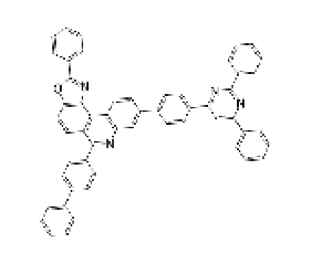 c1ccc(-c2ccc(-c3nc4cc(-c5ccc(-c6cc(-c7ccccc7)nc(-c7ccccc7)n6)cc5)ccc4c4c3ccc3oc(-c5ccccc5)nc34)cc2)cc1